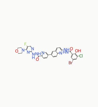 O=C(NNc1ncc(F)c(N2CCOCC2)n1)c1ccc(-c2ccc3nc(NNC(=O)c4cc(Br)cc(Cl)c4O)ccc3c2)cn1